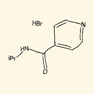 Br.CC(C)NC(=O)c1ccncc1